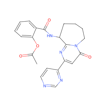 CC(=O)Oc1ccccc1C(=O)NC1CCCCn2c1nc(-c1ccncn1)cc2=O